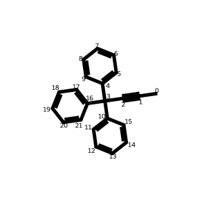 CC#CC(c1ccccc1)(c1ccccc1)c1ccccc1